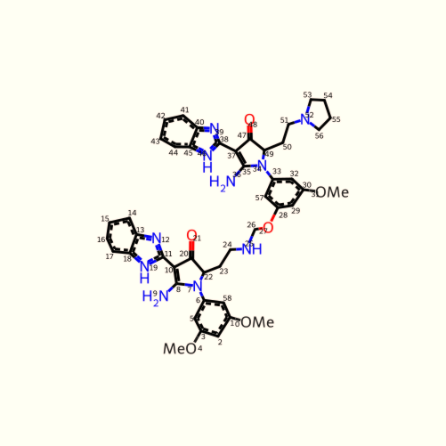 COc1cc(OC)cc(N2C(N)=C(c3nc4ccccc4[nH]3)C(=O)C2CCNCOc2cc(OC)cc(N3C(N)=C(c4nc5ccccc5[nH]4)C(=O)C3CCN3CCCC3)c2)c1